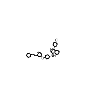 Clc1ccc(-c2nnc(Nc3ccc(Oc4ccnc(/C=C/c5ccccc5)c4)cc3)c3ccccc23)cc1